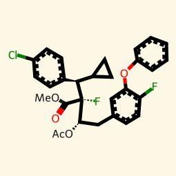 COC(=O)[C@](F)([C@H](Cc1ccc(F)c(Oc2ccccc2)c1)OC(C)=O)[C@@H](c1ccc(Cl)cc1)C1CC1